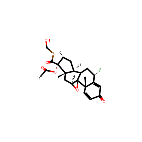 CCC(=O)O[C@]1(C(=O)SCO)[C@H](C)C[C@H]2C3C[C@H](F)C4=CC(=O)C=C[C@]4(C)[C@@]34O[C@H]4C[C@@]21C